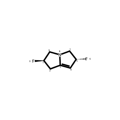 F[C@@H]1CC2=C[C@@H](F)CN2C1